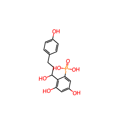 O=P(O)(O)c1cc(O)cc(O)c1C(O)CCc1ccc(O)cc1